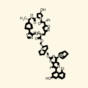 CCc1cccc2cc(O)cc(-c3ncc4c(N5CC6CCC(C5)N6)nc(OC[C@]56CCCN5[C@@H](COC(=O)N(C)Cc5cc([C@H](C(=O)N7C[C@H](O)C[C@H]7C(=O)N[C@@H](C)c7ccc(-c8scnc8C)cc7)C(C)C)on5)CC6)nc4c3F)c12